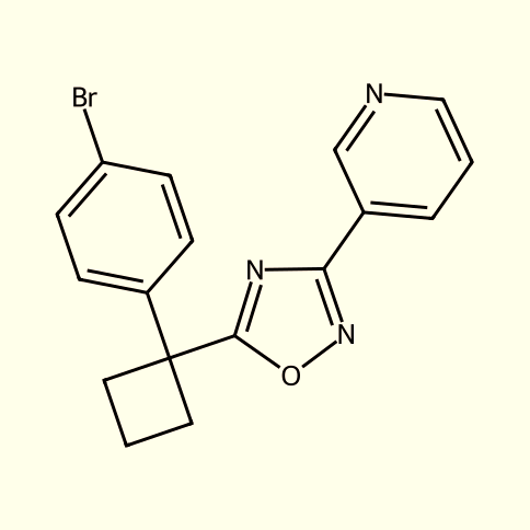 Brc1ccc(C2(c3nc(-c4cccnc4)no3)CCC2)cc1